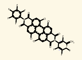 C=C(F)/C(F)=C(\C(F)=C(\F)CF)N1C(=O)c2cc(Cl)c3c4c(Cl)cc5c6c(cc(Cl)c(c7c(Cl)cc(c2c37)C1=O)c64)C(=O)N(c1c(F)c(F)c(F)c(F)c1F)C5=O